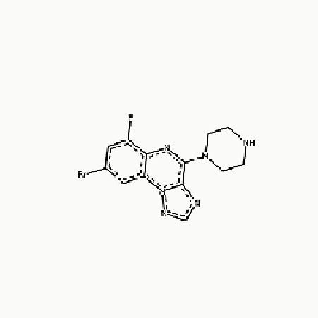 Fc1cc(Br)cc2c1nc(N1CCNCC1)c1ncnn12